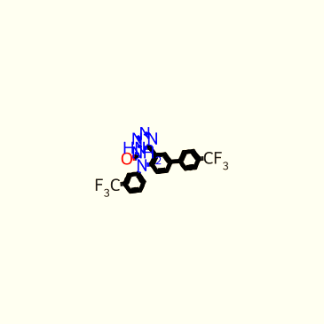 NC(=O)N(c1cccc(C(F)(F)F)c1)c1ccc(-c2ccc(C(F)(F)F)cc2)cc1-c1nnn[nH]1